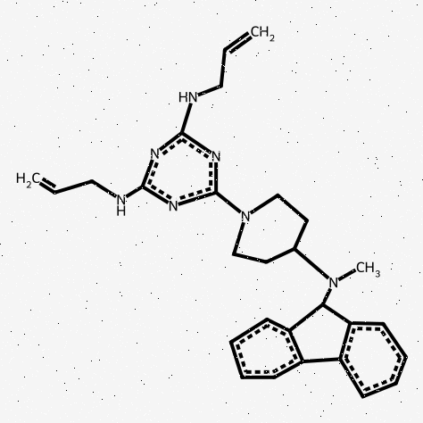 C=CCNc1nc(NCC=C)nc(N2CCC(N(C)C3c4ccccc4-c4ccccc43)CC2)n1